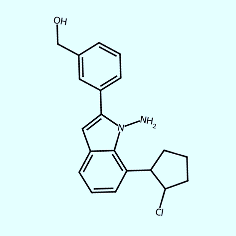 Nn1c(-c2cccc(CO)c2)cc2cccc(C3CCCC3Cl)c21